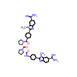 Cn1c(-c2ccc(NC(=O)[C@@H]3CCCN3C(=O)[C@@H]3CCCN3C(=O)c3ccc(-c4nc5ccc(C(=N)N)cc5n4C)cc3)cc2)nc2ccc(C(=N)N)cc21